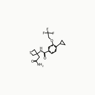 NC(=O)CC1(NC(=O)c2ccc(C3CC3)c(OCC(F)(F)F)c2)CSC1